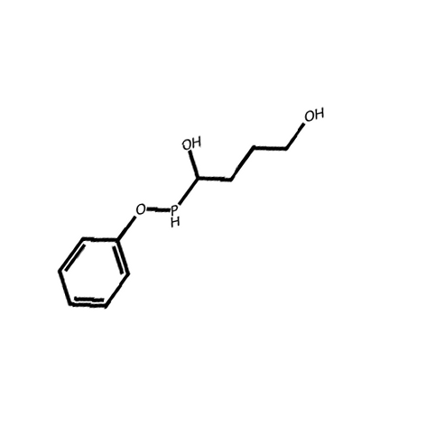 OCCCC(O)POc1ccccc1